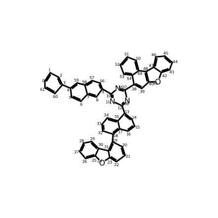 c1ccc(-c2ccc3cc(-c4nc(-c5cccc6c(-c7cccc8oc9ccccc9c78)cccc56)nc(-c5cc6oc7ccccc7c6c6ccccc56)n4)ccc3c2)cc1